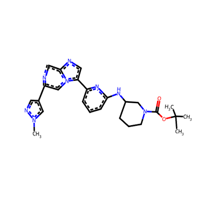 Cn1cc(-c2cn3c(-c4cccc(NC5CCCN(C(=O)OC(C)(C)C)C5)n4)cnc3cn2)cn1